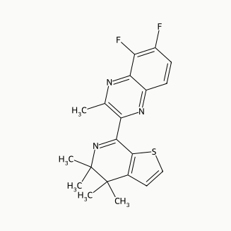 Cc1nc2c(F)c(F)ccc2nc1C1=NC(C)(C)C(C)(C)c2ccsc21